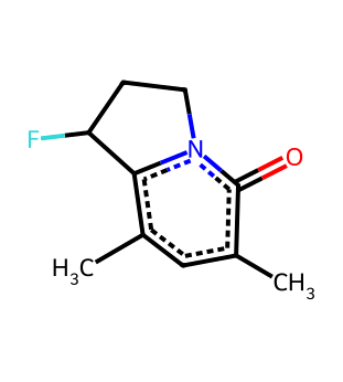 Cc1cc(C)c(=O)n2c1C(F)CC2